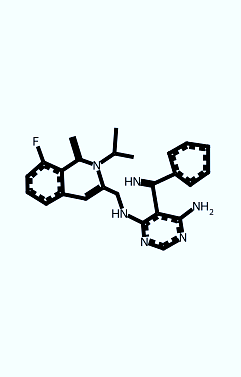 C=C1c2c(F)cccc2C=C(CNc2ncnc(N)c2C(=N)c2ccccc2)N1C(C)C